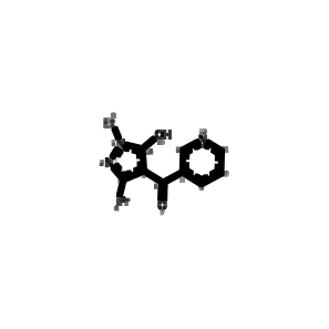 CCn1nc(C(C)C)c(C(=O)c2cccnc2)c1O